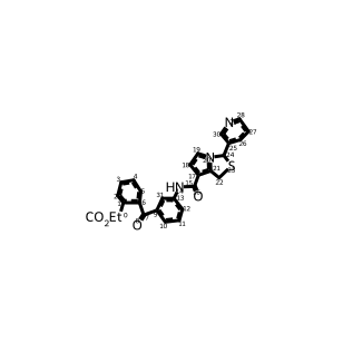 CCOC(=O)c1ccccc1C(=O)c1cccc(NC(=O)c2ccn3c2CSC3c2cccnc2)c1